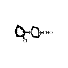 O=CN1CCN(c2ccccc2Cl)CC1